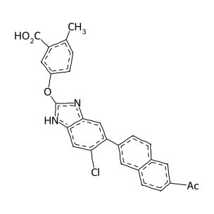 CC(=O)c1ccc2cc(-c3cc4nc(Oc5ccc(C)c(C(=O)O)c5)[nH]c4cc3Cl)ccc2c1